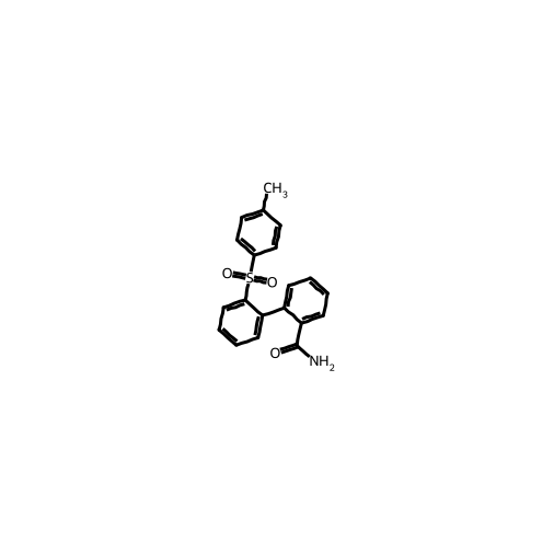 Cc1ccc(S(=O)(=O)c2ccccc2-c2ccccc2C(N)=O)cc1